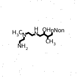 CCCCCCCCCCC(C)C(O)CNCCN(C)CCN